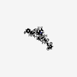 CN[C@H](C(=O)N[C@H](C(=O)N(C)[C@H](/C=C(\C)C(=O)N[C@H](CCC(=O)NCCN1C(=O)C=CC1=O)C(O)OC(C)(C)C)C(C)C)C(C)(C)C)C(C)(C)c1cccc(F)c1